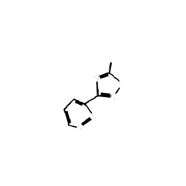 Sc1nc(-c2cccnn2)ns1